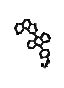 COc1ccc(-c2c3ccccc3c(-c3cnc4ccc5ccncc5c4c3)c3ccccc23)cc1